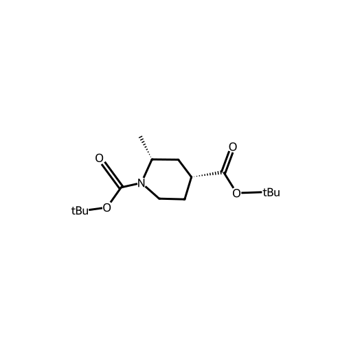 C[C@@H]1C[C@H](C(=O)OC(C)(C)C)CCN1C(=O)OC(C)(C)C